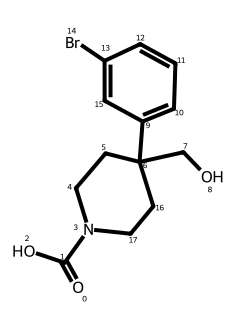 O=C(O)N1CCC(CO)(c2cccc(Br)c2)CC1